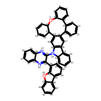 C1=CC2Oc3ccccc3-c3ccccc3-c3cc4c5ccccc5n(-c5nc6ccccc6nc5-c5cccc6c5oc5ccccc56)c4cc3C2C=C1